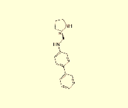 c1ccc(-c2ccc(NC[C@H]3CCCN3)cc2)cc1